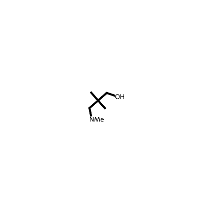 [CH2]NCC(C)(C)CO